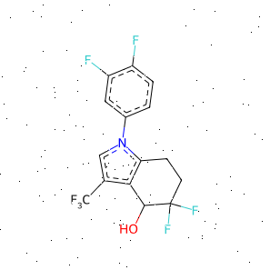 OC1c2c(C(F)(F)F)cn(-c3ccc(F)c(F)c3)c2CCC1(F)F